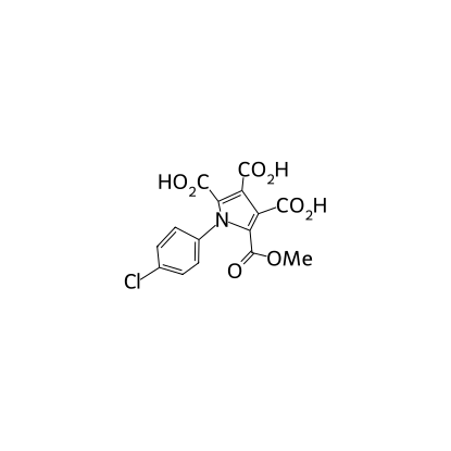 COC(=O)c1c(C(=O)O)c(C(=O)O)c(C(=O)O)n1-c1ccc(Cl)cc1